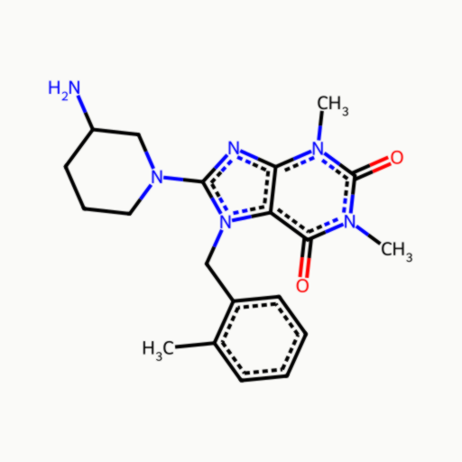 Cc1ccccc1Cn1c(N2CCCC(N)C2)nc2c1c(=O)n(C)c(=O)n2C